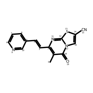 Cc1c(/C=C/c2cccnc2)nc2sc(C#N)cn2c1=O